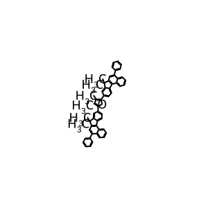 Cc1c(-c2ccc3c(c2)C(C)(C)c2cc(-c4ccccc4)c4ccccc4c2-3)oc(-c2ccc3c(c2)C(C)(C)c2cc(-c4ccccc4)c4ccccc4c2-3)c1C